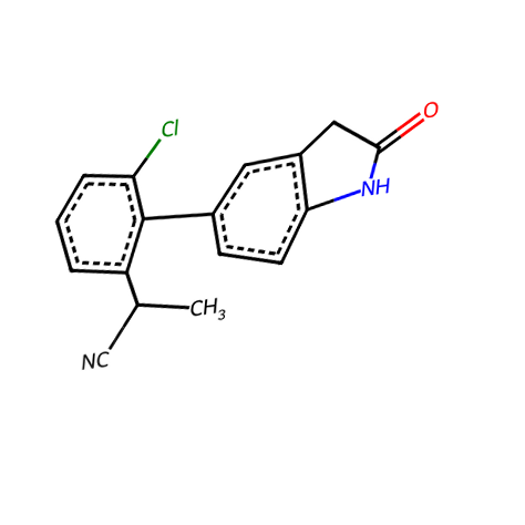 CC(C#N)c1cccc(Cl)c1-c1ccc2c(c1)CC(=O)N2